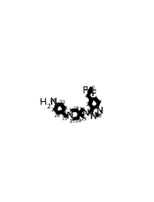 CC(F)(F)Cc1ccc2ncnc(N3CC4(CCN(Cc5ccc(N)cc5)CC4)C3)c2c1